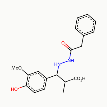 COc1cc(C(NNC(=O)Cc2ccccc2)C(C)C(=O)O)ccc1O